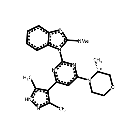 CNc1nc2ccccc2n1-c1nc(-c2c(C(F)(F)F)n[nH]c2C)cc(N2CCOC[C@H]2C)n1